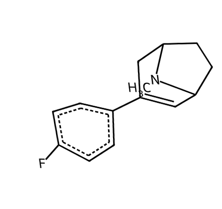 CN1C2C=C(c3ccc(F)cc3)CC1CC2